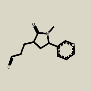 CN1C(=O)C(CCC=O)CC1c1cccnc1